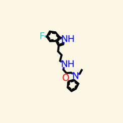 CCN1CC(CNCCCc2c[nH]c3ccc(F)cc23)Oc2ccccc21